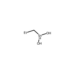 CC[CH2][SnH]([OH])[OH]